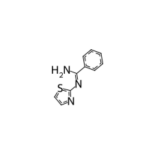 NC(=Nc1nccs1)c1ccccc1